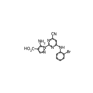 N#Cc1cc(Nc2ccccc2Br)nc(-n2ncc(C(=O)O)c2N)n1